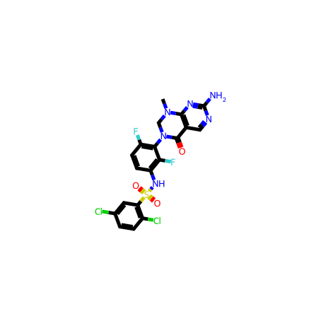 CN1CN(c2c(F)ccc(NS(=O)(=O)c3cc(Cl)ccc3Cl)c2F)C(=O)c2cnc(N)nc21